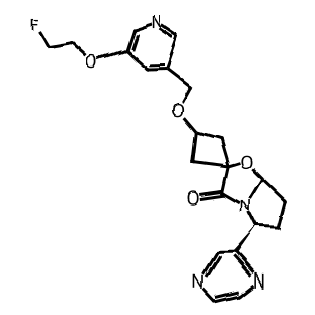 O=C1N2C(CC[C@H]2c2cnccn2)OC12CC(OCc1cncc(OCCF)c1)C2